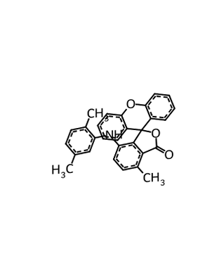 Cc1ccc(C)c(Nc2ccc(C)c3c2C2(OC3=O)c3ccccc3Oc3ccccc32)c1